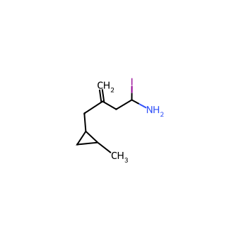 C=C(CC(N)I)CC1CC1C